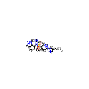 COc1ccc2cnn(C)c2c1NS(=O)(=O)c1ccc(-n2cc([N+](=O)[O-])cn2)nc1